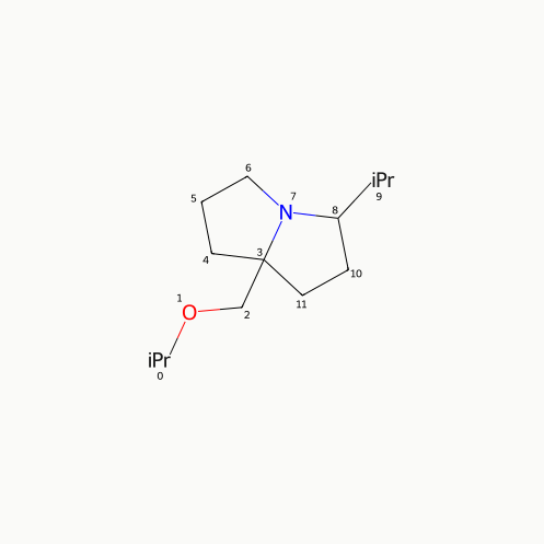 CC(C)OCC12CCCN1C(C(C)C)CC2